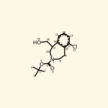 CC(C)(C)OC(=O)N1CCc2c(Cl)cccc2C(CO)C1